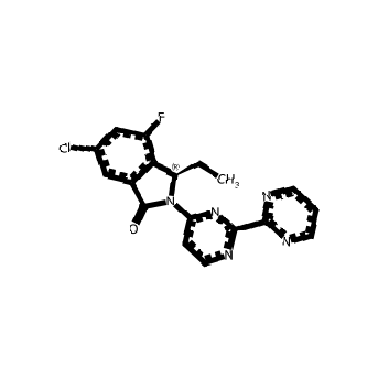 CC[C@@H]1c2c(F)cc(Cl)cc2C(=O)N1c1ccnc(-c2ncccn2)n1